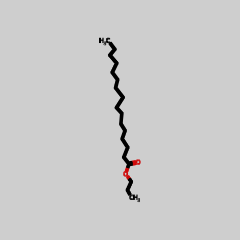 CCCCCCCCCCCCCCCC(=O)OCCC